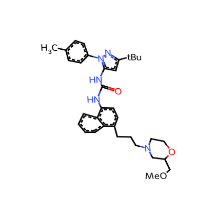 COCC1CN(CCCc2ccc(NC(=O)Nc3cc(C(C)(C)C)nn3-c3ccc(C)cc3)c3ccccc23)CCO1